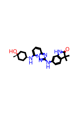 CC1(C)C(=O)Nc2cc(Nc3nc4cccc(N[C@H]5CC[C@@](C)(O)CC5)n4n3)ccc21